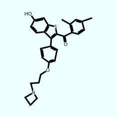 Cc1ccc(C(=O)c2sc3cc(O)ccc3c2-c2ccc(OCCCN3CCC3)cc2)c(C)c1